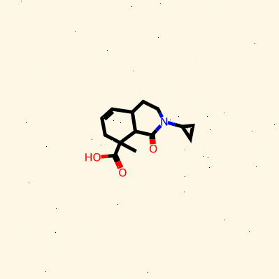 CC1(C(=O)O)CC=CC2CCN(C3CC3)C(=O)C21